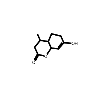 CC1CC(=O)OC2C=C(O)CCC12